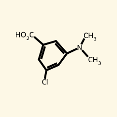 CN(C)c1cc(Cl)cc(C(=O)O)c1